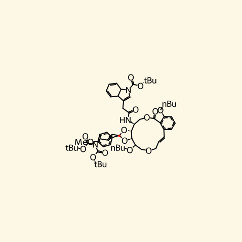 CCCCOc1cccc2c1C(=O)OC[C@H](NC(=O)CC1=CN(C(=O)OC(C)(C)C)C3C=CC=CC13)[C@@H](OC/C=C/CN(C(=O)OC(C)(C)C)C(=O)OC(C)(C)C)[C@H](OCc1ccc(OC)cc1)[C@H](OCCCC)COC/C=C/2